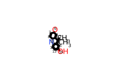 CC1(C)C2=CC(=O)C=CC2=Nc2ccc(O)cc21